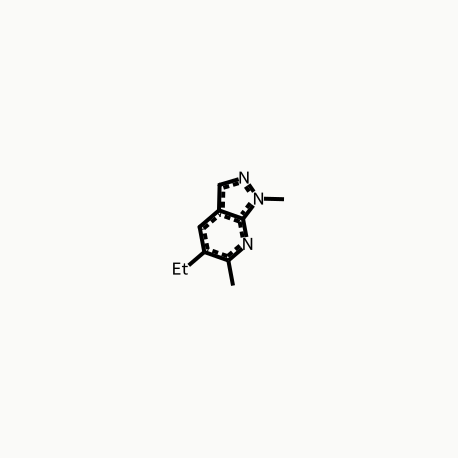 CCc1cc2cnn(C)c2nc1C